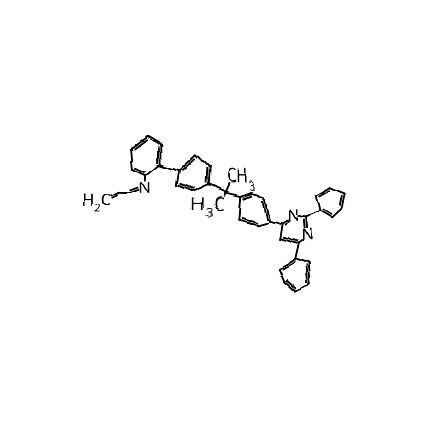 C=C/C=N\c1ccccc1-c1ccc(C(C)(C)c2ccc(-c3cc(-c4ccccc4)nc(-c4ccccc4)n3)cc2)cc1